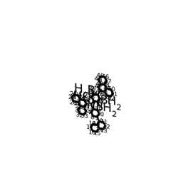 Bc1c(B)c(N(c2ccc(-c3cccc4ccccc34)cc2)c2cc3ccccc3c3ccccc23)c(O)c(B)c1-c1cc2ccccc2c2ccccc12